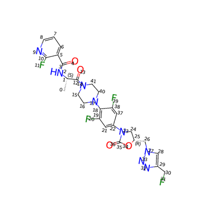 C[C@H](NC(=O)c1cccnc1F)C(=O)N1CCN(c2c(F)cc(N3C[C@H](Cn4cc(CF)nn4)OC3=O)cc2F)CC1